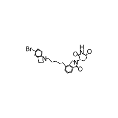 O=C1CCC(N2Cc3c(CCCCCN4CCc5cc(Br)ccc54)cccc3C2=O)C(=O)N1